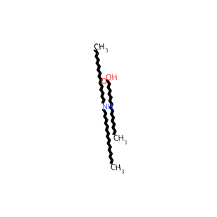 CCCCCCCCCCCCCCCCCC(=O)O.CCCCCCCCCCCCCCCCCCNCCCCCCCCCCCCCCCCCC